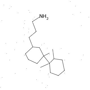 CC1CCCCC1(C)C1(C)CCCC(CCCN)C1